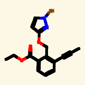 CC#Cc1cccc(C(=O)OCC)c1COc1ccn(S)n1